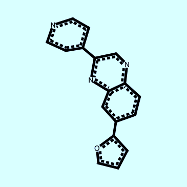 [c]1ccc(-c2ccc3ncc(-c4ccncc4)nc3c2)o1